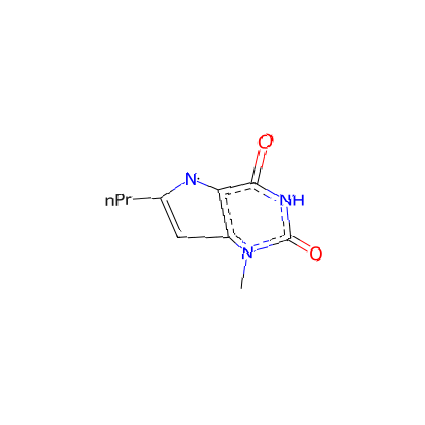 CCCC1=Cc2c(c(=O)[nH]c(=O)n2C)[N]1